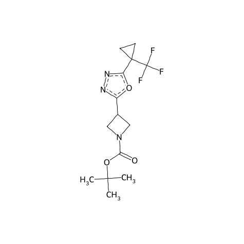 CC(C)(C)OC(=O)N1CC(c2nnc(C3(C(F)(F)F)CC3)o2)C1